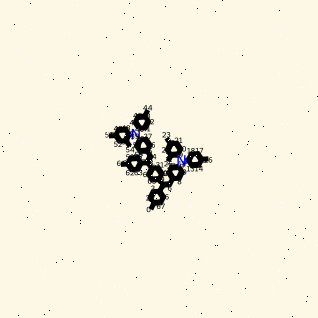 Cc1ccc(C(=Cc2ccc(N(c3ccc(C)cc3)c3ccc(C)cc3C)cc2)c2ccc(C(=Cc3ccc(N(c4ccc(C)cc4)c4ccc(C)cc4C)cc3)c3ccc(C)cc3)cc2)cc1